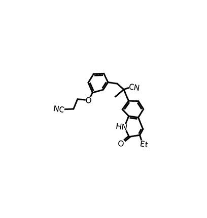 CCc1cc2ccc(C(C)(C#N)Cc3cccc(OCCC#N)c3)cc2[nH]c1=O